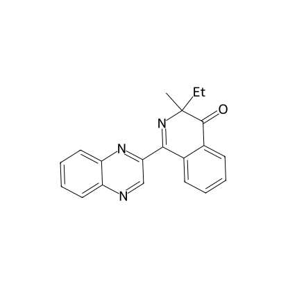 CCC1(C)N=C(c2cnc3ccccc3n2)c2ccccc2C1=O